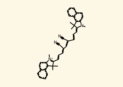 CN1/C(=C/C=C/C(C#N)=C/C(C#N)=C/C=C/C2=[N+](C)c3ccc4ccccc4c3C2(C)C)C(C)(C)c2c1ccc1ccccc21